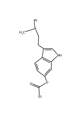 CCC(=O)Oc1ccc2c(CCN(C)C(C)C)c[nH]c2c1